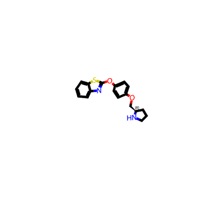 c1ccc2sc(Oc3ccc(OC[C@H]4CCCN4)cc3)nc2c1